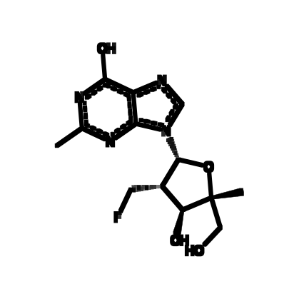 Cc1nc(O)c2ncn([C@@H]3O[C@](C)(CO)[C@@H](O)[C@@H]3CF)c2n1